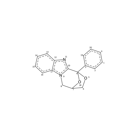 c1ccc(C23OCC(Cn4c2nc2ccccc24)O3)cc1